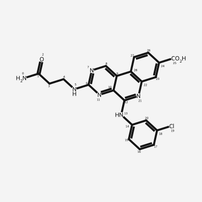 NC(=O)CCNc1ncc2c(n1)c(Nc1cccc(Cl)c1)nc1cc(C(=O)O)ccc12